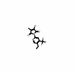 CCc1cnc(N2C(=O)C(C)=C(Cl)C2=O)cc1C(F)(F)F